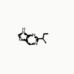 CCC(C)c1ncc2nc[nH]c2n1